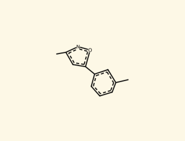 Cc1cccc(-c2cc(C)no2)c1